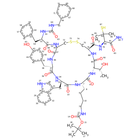 C[C@@H](O)[C@@H]1NC(=O)[C@H](CCCCNC(=O)OC(C)(C)C)NC(=O)[C@@H](Cc2c[nH]c3ccccc23)NC(=O)[C@H](Cc2ccc(O)cc2)NC(=O)[C@@H](NC(=O)[C@@H](Cc2ccccc2)NC(=O)NCc2ccccc2)CSSC[C@@H](C(=O)N[C@H](C(N)=O)C(C)(C)S)NC1=O